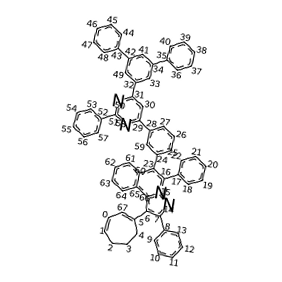 C1=CCCCC(c2c(-c3ccccc3)nn3c(-c4ccccc4)c(-c4cccc(-c5cc(-c6cc(-c7ccccc7)cc(-c7ccccc7)c6)nc(-c6ccccc6)n5)c4)c4ccccc4c23)=C1